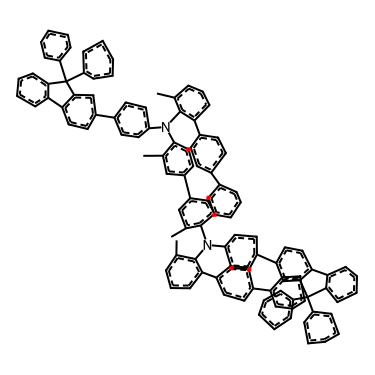 Cc1cc(-c2ccc(N(c3ccc(-c4ccc5c(c4)C(c4ccccc4)(c4ccccc4)c4ccccc4-5)cc3)c3c(C)cccc3-c3ccc(-c4ccccc4)cc3)c(C)c2)ccc1N(c1ccc(-c2ccc3c(c2)C(c2ccccc2)(c2ccccc2)c2ccccc2-3)cc1)c1c(C)cccc1-c1ccc(-c2ccccc2)cc1